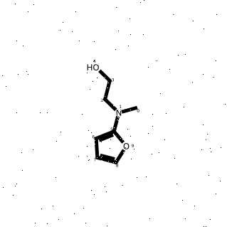 CN(CCO)c1ccco1